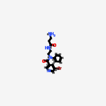 NCCC(=O)NCCN(C(=O)c1cncc(Br)c1)c1ccccc1